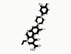 CCn1cc(C(=O)O)c(=O)c2c3cc(F)c(N4CCN(c5ccc(C)c(F)c5)CC4)cc3ncc21